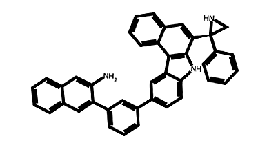 Nc1cc2ccccc2cc1-c1cccc(-c2ccc3[nH]c4c([C@]5(c6ccccc6)CN5)cc5ccccc5c4c3c2)c1